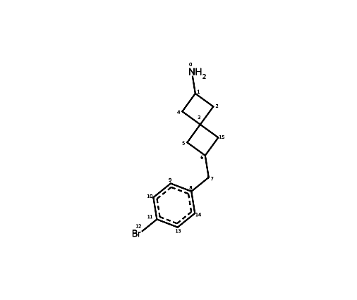 NC1CC2(C1)CC(Cc1ccc(Br)cc1)C2